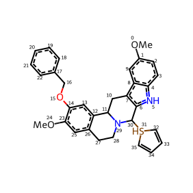 COc1ccc2[nH]c3c(c2c1)CC1c2cc(OCc4ccccc4)c(OC)cc2CCN1C3[SH]1C=CC=C1